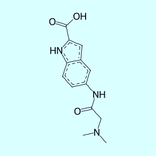 CN(C)CC(=O)Nc1ccc2[nH]c(C(=O)O)cc2c1